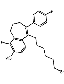 Oc1ccc2c(c1F)CCCC(c1ccc(F)cc1)=C2CCCCCCBr